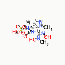 CN(O)/C(=N\O)[C@@H]1c2c(cnn2C)[C@H]2CN1C(=O)N2OS(=O)(=O)O